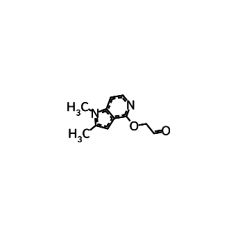 Cc1cc2c(OCC=O)nccc2n1C